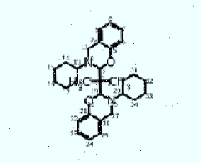 CC(C)(C1Oc2ccccc2CN1C1CCCCC1)C1Oc2ccccc2CN1C1CCCCC1